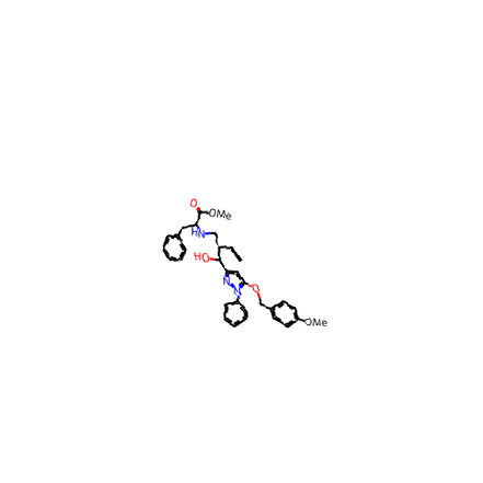 C=C[C@H](CNC(Cc1ccccc1)C(=O)OC)C(O)c1cc(OCc2ccc(OC)cc2)n(-c2ccccc2)n1